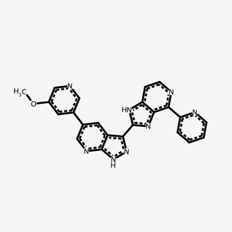 COc1cncc(-c2cnc3[nH]nc(-c4nc5c(-c6ccccn6)nccc5[nH]4)c3c2)c1